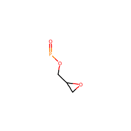 O=POCC1CO1